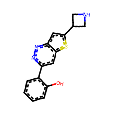 Oc1ccccc1-c1cc2sc(C3CNC3)cc2nn1